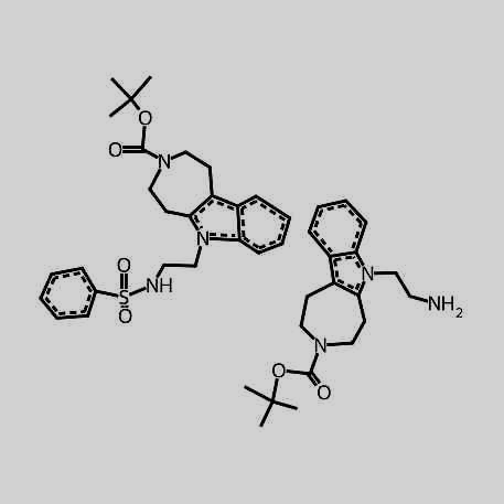 CC(C)(C)OC(=O)N1CCc2c(n(CCN)c3ccccc23)CC1.CC(C)(C)OC(=O)N1CCc2c(n(CCNS(=O)(=O)c3ccccc3)c3ccccc23)CC1